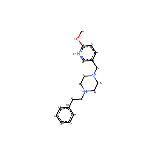 COc1ccc(CN2CCN(CCc3ccccc3)CC2)cn1